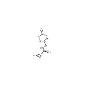 O=C(OCC1CCC(Cl)CC1)C1CC1